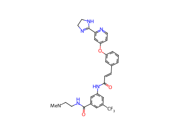 CNCCNC(=O)c1cc(NC(=O)C=Cc2cccc(Oc3ccnc(C4=NCCN4)c3)c2)cc(C(F)(F)F)c1